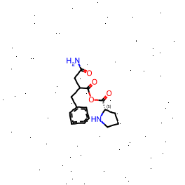 NC(=O)CC(Cc1ccccc1)C(=O)OC(=O)[C@@H]1CCCN1